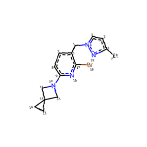 CCc1ccn(Cc2ccc(N3CC4(CC4)C3)nc2Br)n1